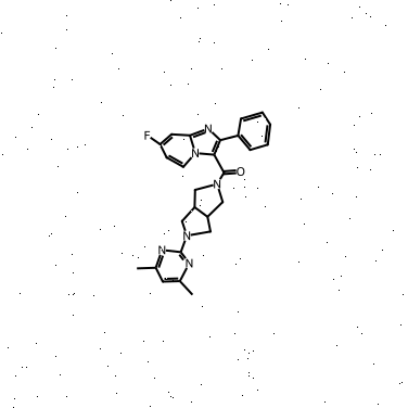 Cc1cc(C)nc(N2CC3CN(C(=O)c4c(-c5ccccc5)nc5cc(F)ccn45)CC3C2)n1